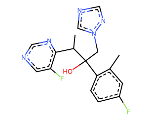 Cc1cc(F)ccc1C(O)(Cn1cncn1)C(C)c1ncncc1F